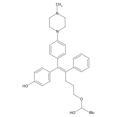 CN1CCN(c2ccc(/C(=C(/CCCOC(O)C(C)(C)C)c3ccccc3)c3ccc(O)cc3)cc2)CC1